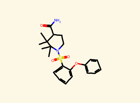 CC1(C)C(C(N)=O)CCN(S(=O)(=O)c2ccccc2Oc2ccccc2)C1(C)C